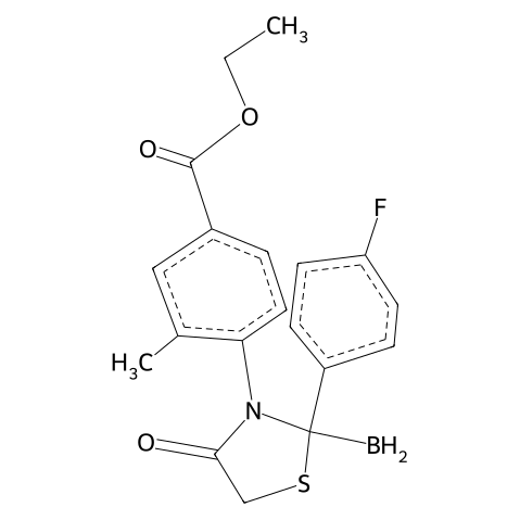 BC1(c2ccc(F)cc2)SCC(=O)N1c1ccc(C(=O)OCC)cc1C